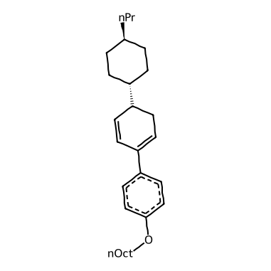 CCCCCCCCOc1ccc(C2=CCC([C@H]3CC[C@H](CCC)CC3)C=C2)cc1